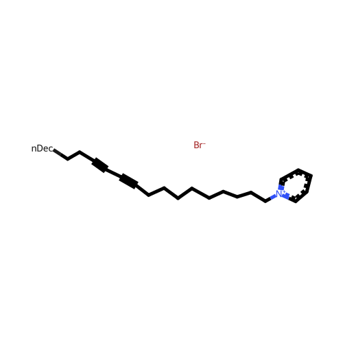 CCCCCCCCCCCCC#CC#CCCCCCCCCC[n+]1ccccc1.[Br-]